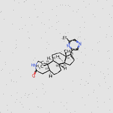 CCc1cncc(C2=CC[C@H]3[C@@H]4CC[C@H]5CC(=O)NCC[C@]5(C)[C@H]4CC[C@]23C)n1